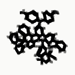 CC(C)(C)c1ccc(N(c2ccc(C(C)(C)C)cc2)c2cc3c4c(c2)N2c5ccccc5C(c5ccccc5)(c5ccccc5)c5cccc(c52)B4N(c2ccc4c(c2)C(C)(C)CCC4(C)C)c2c-3ccc3c2oc2ccccc23)cc1